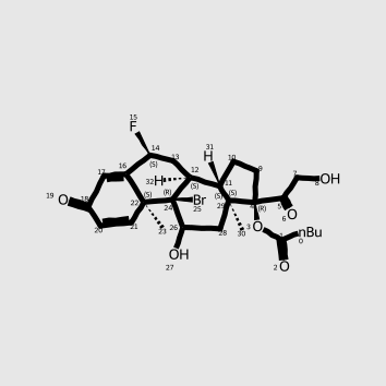 CCCCC(=O)O[C@]1(C(=O)CO)CC[C@H]2[C@@H]3C[C@H](F)C4=CC(=O)C=C[C@]4(C)[C@@]3(Br)C(O)C[C@@]21C